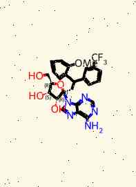 COc1ccccc1C(C[C@@]1(n2cnc3c(N)ncnc32)O[C@H](CO)[C@@H](O)[C@H]1O)c1cccc(C(F)(F)F)c1